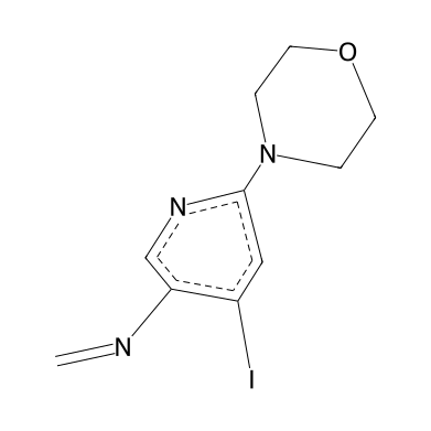 C=Nc1cnc(N2CCOCC2)cc1I